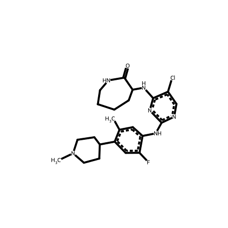 Cc1cc(Nc2ncc(Cl)c(NC3CCCCNC3=O)n2)c(F)cc1C1CCN(C)CC1